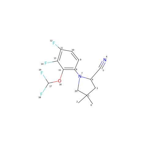 CC1(C)CC(C#N)N(c2ccc(F)c(F)c2OC(F)F)C1